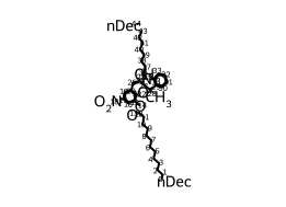 CCCCCCCCCCCCCCCCCCCCCC(=O)Oc1cc([N+](=O)[O-])cc2c1OC1(C(C)=C2)C(C)c2ccccc2N1CCCCCCCCCCCCCCCCCC